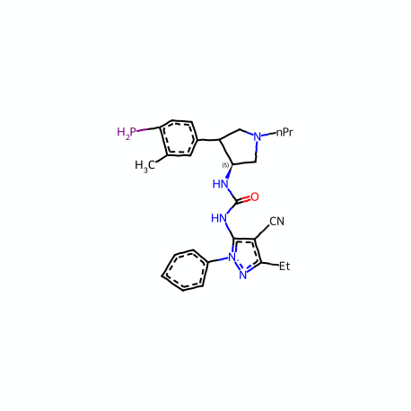 CCCN1CC(c2ccc(P)c(C)c2)[C@H](NC(=O)Nc2c(C#N)c(CC)nn2-c2ccccc2)C1